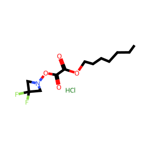 CCCCCCCOC(=O)C(=O)ON1CC(F)(F)C1.Cl